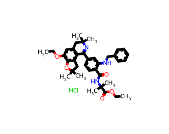 CCOC(=O)C(C)(C)NC(=O)c1ccc(C2=NC(C)(C)Cc3cc(OCC)c4c(c32)CC(C)(C)O4)cc1NCc1ccccc1.Cl